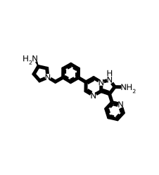 NC1NN2C=C(c3cccc(CN4CC[C@@H](N)C4)c3)C=NC2=C1c1ccccn1